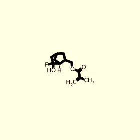 C=C(C)C(=O)OCC1CC2C[C@@H]1C(O)(F)C2